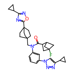 O=C(C1CC2(F)CC1C2)N(CC12CCC(c3nc(C4CC4)no3)(CC1)CC2)c1cccc(-n2cc(C3CC3)nn2)c1